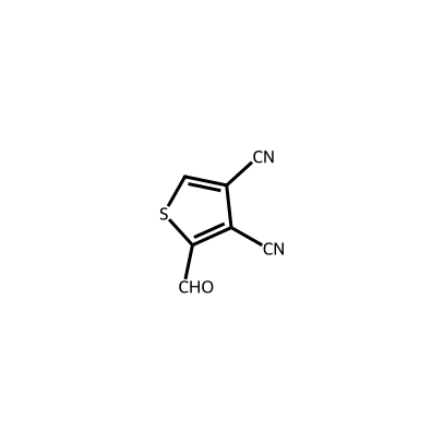 N#Cc1csc(C=O)c1C#N